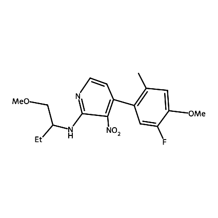 CCC(COC)Nc1nccc(-c2cc(F)c(OC)cc2C)c1[N+](=O)[O-]